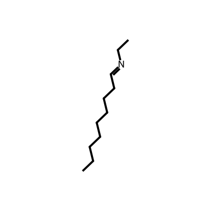 CCCCCCCC/C=N/CC